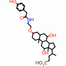 CC(CCC(=O)O)C1CCC2C3C(O)CC4CC(OCCNC(=O)Cc5ccc(O)cc5)CCC4(C)C3CC(O)C12C